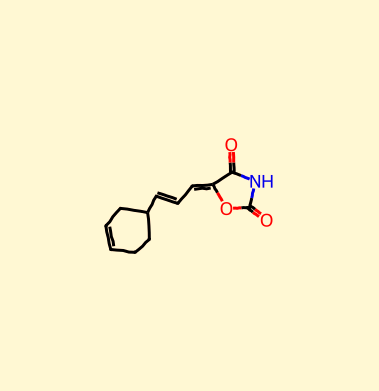 O=C1NC(=O)C(=CC=CC2CC=CCC2)O1